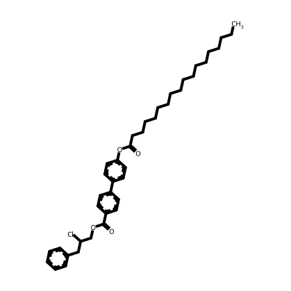 CCCCCCCCCCCCCCCCCC(=O)Oc1ccc(-c2ccc(C(=O)OCC(Cl)Cc3ccccc3)cc2)cc1